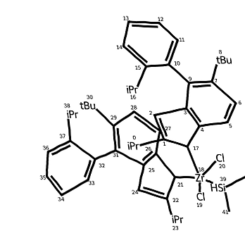 CC(C)C1=Cc2c(ccc(C(C)(C)C)c2-c2ccccc2C(C)C)[CH]1[Zr]([Cl])([Cl])([CH]1C(C(C)C)=Cc2c1ccc(C(C)(C)C)c2-c1ccccc1C(C)C)[SiH](C)C